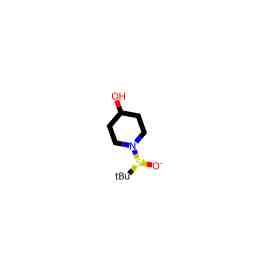 CC(C)(C)[S+]([O-])N1CCC(O)CC1